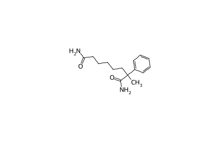 CC(CCCCCC(N)=O)(C(N)=O)c1ccccc1